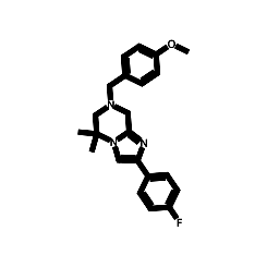 COc1ccc(CN2Cc3nc(-c4ccc(F)cc4)cn3C(C)(C)C2)cc1